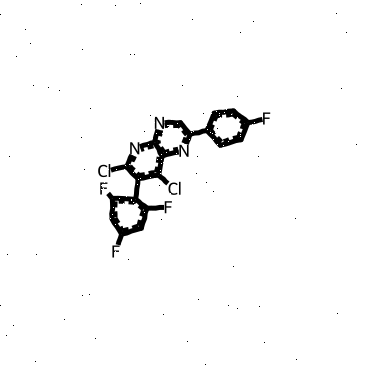 Fc1ccc(-c2cnc3nc(Cl)c(-c4c(F)cc(F)cc4F)c(Cl)c3n2)cc1